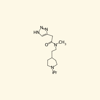 CC(C)N1CCC(CCN(C)C(=O)Cc2c[nH]nn2)CC1